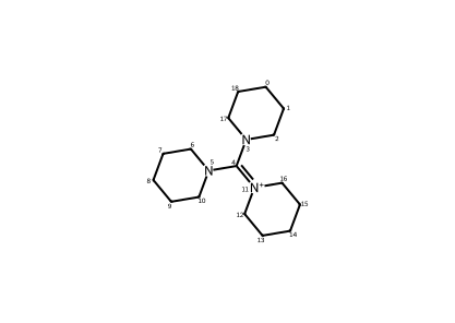 C1CCN(C(N2CCCCC2)=[N+]2CCCCC2)CC1